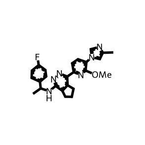 COc1nc(-c2nnc(NC(C)c3ccc(F)cc3)c3c2CCC3)ccc1-n1cnc(C)c1